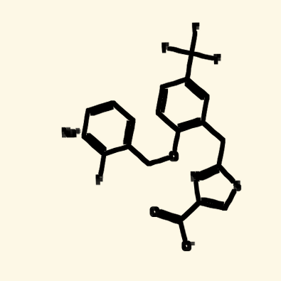 O=C([O-])c1csc(Cc2cc(C(F)(F)F)ccc2OCc2ccccc2F)n1.[Na+]